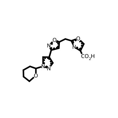 O=C(O)c1coc(Cc2cc(-c3cnn(C4CCCCO4)c3)no2)n1